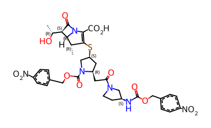 C[C@@H](O)[C@H]1C(=O)N2C(C(=O)O)=C(S[C@H]3C[C@@H](CC(=O)N4CC[C@H](NC(=O)OCc5ccc([N+](=O)[O-])cc5)C4)N(C(=O)OCc4ccc([N+](=O)[O-])cc4)C3)[C@H](C)[C@@H]12